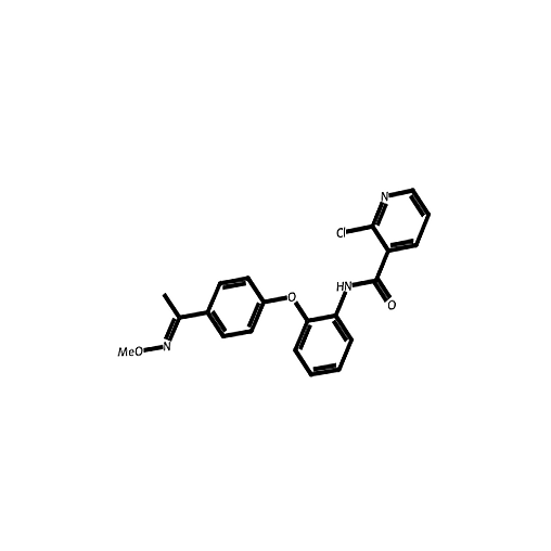 CON=C(C)c1ccc(Oc2ccccc2NC(=O)c2cccnc2Cl)cc1